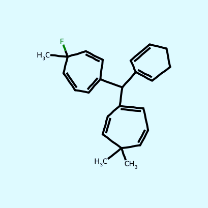 CC1(C)C=CC=C(C(C2=CC=CC(C)(F)C=C2)C2=CCCC=C2)C=C1